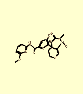 COc1cccc(NC(=O)c2cc(Cl)c(C34CCOCC3[S+]([O-])N(C)C(=N)N4)s2)n1